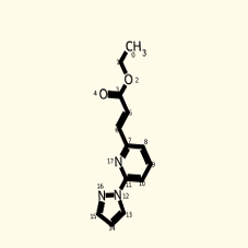 CCOC(=O)/C=C/c1cccc(-n2cccn2)n1